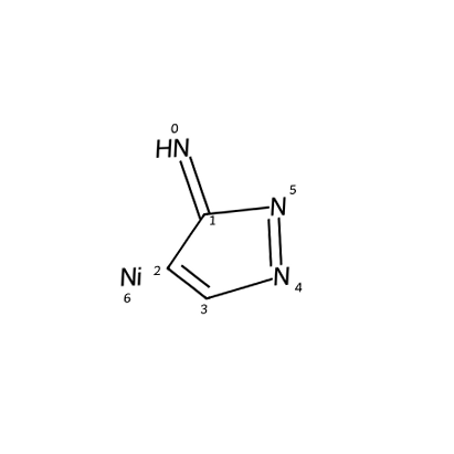 N=C1C=CN=N1.[Ni]